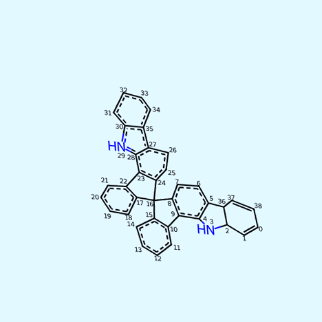 C1=CC2Nc3c(ccc4c3-c3ccccc3C43c4ccccc4-c4c3ccc3c4[nH]c4ccccc43)C2C=C1